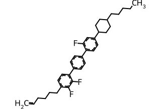 C=CCCCCc1ccc(-c2ccc(-c3ccc(C4CCC(CCCCC)CC4)cc3F)cc2)c(F)c1F